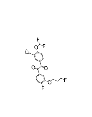 O=C(C(=O)c1ccc(OC(F)F)c(C2CC2)c1)c1ccc(F)c(OCCCF)c1